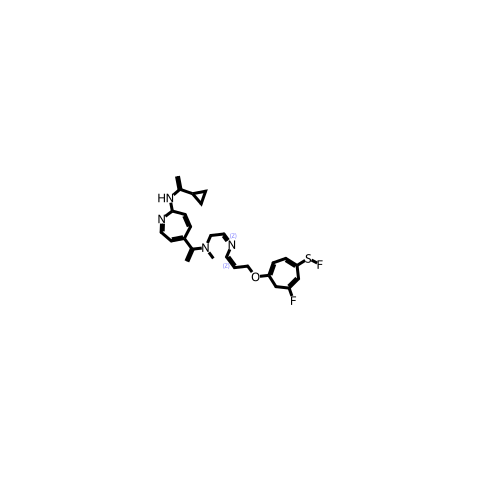 C=C(NC1C=CC(C(=C)N(C)C/C=N\C=C/COC2=CC=C(SF)C=C(F)C2)=CC=N1)C1CC1